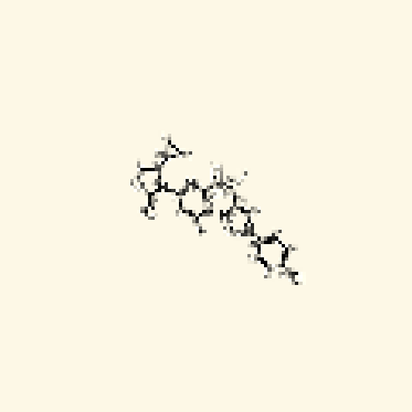 Cc1cc(N2C(=O)OCC2C2CC2)nc(N[C@H](C)c2cn(-c3ccc(Cl)cc3)nn2)n1